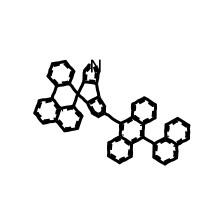 c1ccc2c(c1)-c1cccc3cccc(c13)C21c2ccncc2-c2cc(-c3c4ccccc4c(-c4cccc5ccccc45)c4ccccc34)ccc21